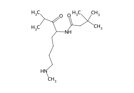 CNCCCCC(NC(=O)CC(C)(C)C)C(=O)C(C)C